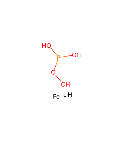 OOP(O)O.[Fe].[LiH]